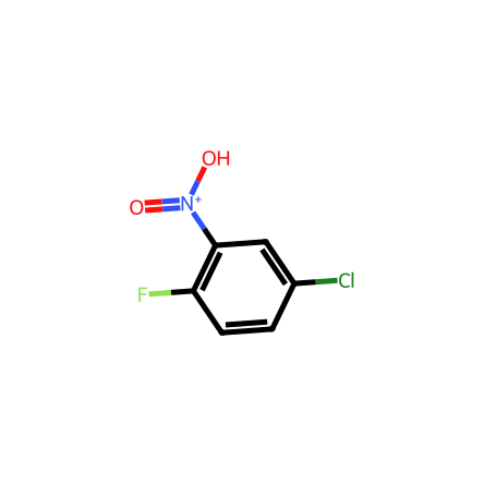 O=[N+](O)c1cc(Cl)ccc1F